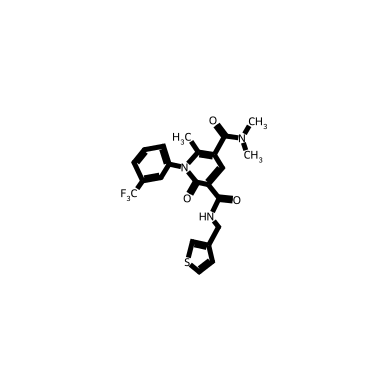 Cc1c(C(=O)N(C)C)cc(C(=O)NCc2ccsc2)c(=O)n1-c1cccc(C(F)(F)F)c1